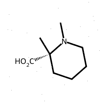 CN1CCCC[C@]1(C)C(=O)O